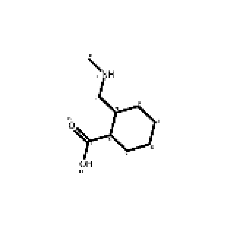 CNCC1CCCCC1C(=O)O